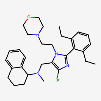 CCc1cccc(CC)c1-c1nc(Br)c(CN(C)C2CCCc3ccccc32)n1CCN1CCOCC1